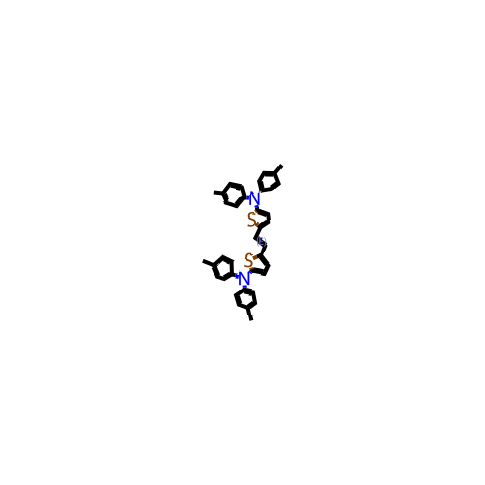 Cc1ccc(N(c2ccc(C)cc2)c2ccc(/C=C/c3ccc(N(c4ccc(C)cc4)c4ccc(C)cc4)s3)s2)cc1